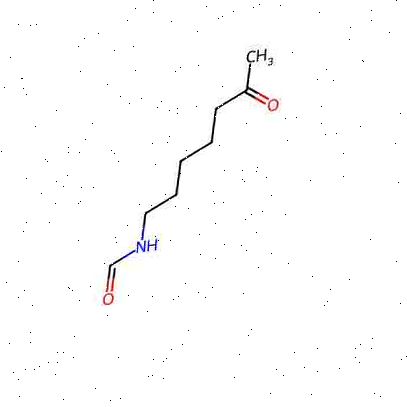 CC(=O)CCCCCNC=O